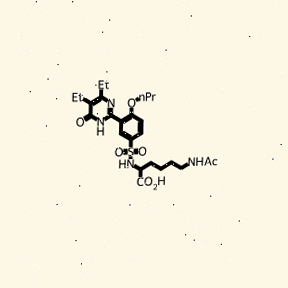 CCCOc1ccc(S(=O)(=O)NC(CCCCNC(C)=O)C(=O)O)cc1-c1nc(CC)c(CC)c(=O)[nH]1